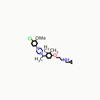 COc1cc(N2CCN(C(C)c3ccc(OCCCNCC4CC4)c(C)c3C)CC2)ccc1Cl